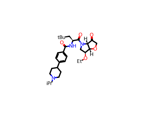 CCO[C@H]1CN(C(=O)[C@H](CC(C)(C)C)NC(=O)c2ccc(C3CCN(C(C)C)CC3)cc2)[C@@H]2C(=O)CO[C@H]12